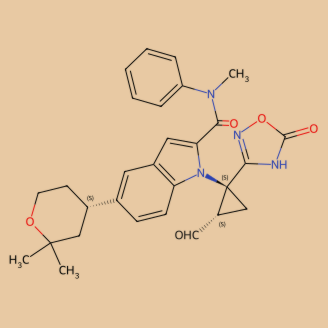 CN(C(=O)c1cc2cc([C@H]3CCOC(C)(C)C3)ccc2n1[C@@]1(c2noc(=O)[nH]2)C[C@@H]1C=O)c1ccccc1